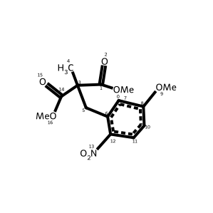 COC(=O)C(C)(Cc1cc(OC)ccc1[N+](=O)[O-])C(=O)OC